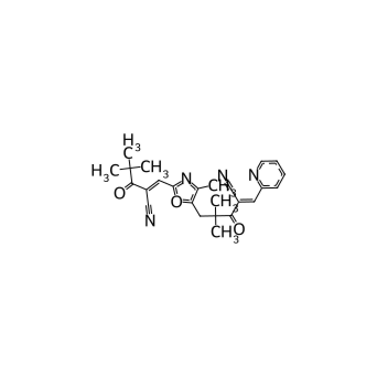 Cc1nc(/C=C(\C#N)C(=O)C(C)(C)C)oc1CC(C)(C)C(=O)/C(C#N)=C/c1ccccn1